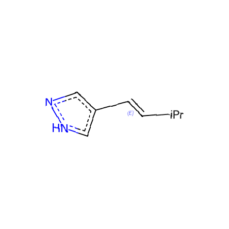 CC(C)/C=C/c1cn[nH]c1